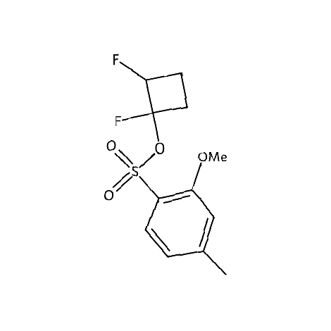 COc1cc(C)ccc1S(=O)(=O)OC1(F)CCC1F